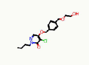 CCCCn1ncc(OCc2ccc(COCCO)cc2)c(Cl)c1=O